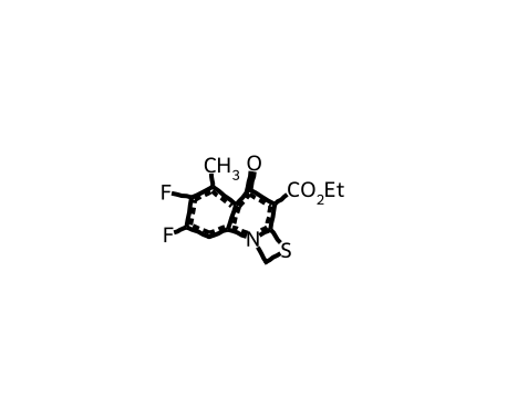 CCOC(=O)c1c2n(c3cc(F)c(F)c(C)c3c1=O)CS2